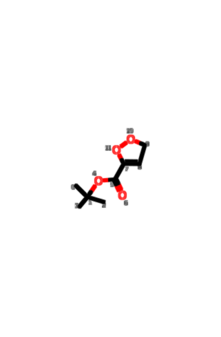 CC(C)(C)OC(=O)C1=CCOO1